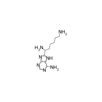 NCCCCCC(N)c1nc2ncnc(N)c2[nH]1